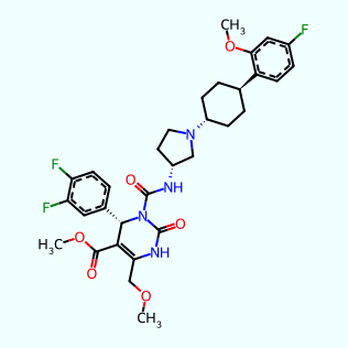 COCC1=C(C(=O)OC)[C@H](c2ccc(F)c(F)c2)N(C(=O)N[C@@H]2CCN([C@H]3CC[C@H](c4ccc(F)cc4OC)CC3)C2)C(=O)N1